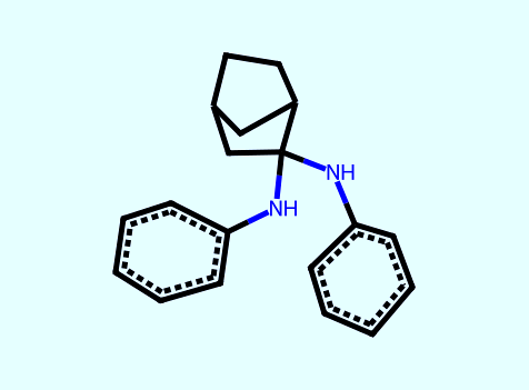 c1ccc(NC2(Nc3ccccc3)CC3CCC2C3)cc1